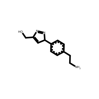 NCCc1ccc(C2C=C(CO)N=N2)cc1